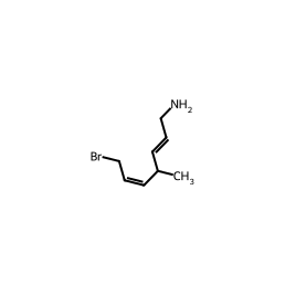 CC(/C=C\CBr)/C=C/CN